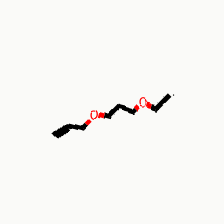 [CH2]COCCCOCC=C